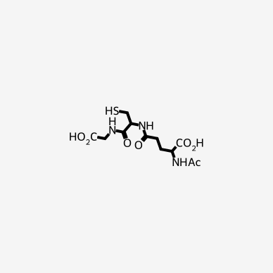 CC(=O)NC(CCC(=O)NC(CS)C(=O)NCC(=O)O)C(=O)O